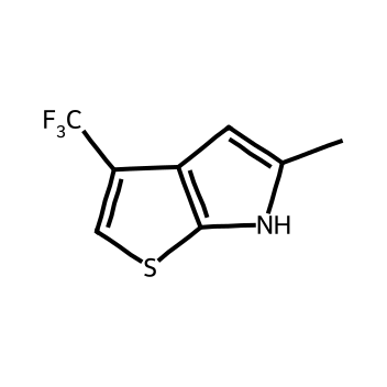 Cc1cc2c(C(F)(F)F)csc2[nH]1